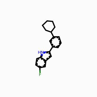 Fc1ccc2[nH]c(-c3cccc(C4CCCCC4)c3)cc2c1